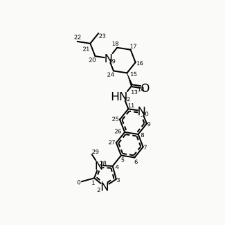 Cc1ncc(-c2ccc3cnc(NC(=O)[C@@H]4CCCN(CC(C)C)C4)cc3c2)n1C